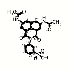 CC(=O)Nc1cc2c3c(cc(NC(C)=O)cc3c1)C(=O)N(c1cccc(S(=O)(=O)O)c1)C2=O